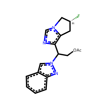 CC(=O)OCC(c1ncn2c1C[C@@H](F)C2)n1cc2ccccc2n1